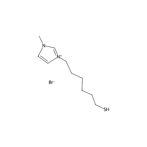 Cn1cc[n+](CCCCCCS)c1.[Br-]